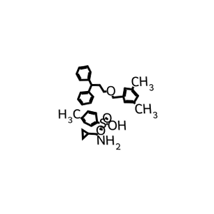 Cc1cc(C)cc(COCCC(c2ccccc2)c2ccccc2)c1.Cc1ccc(S(=O)(=O)O)cc1.NCC1CC1